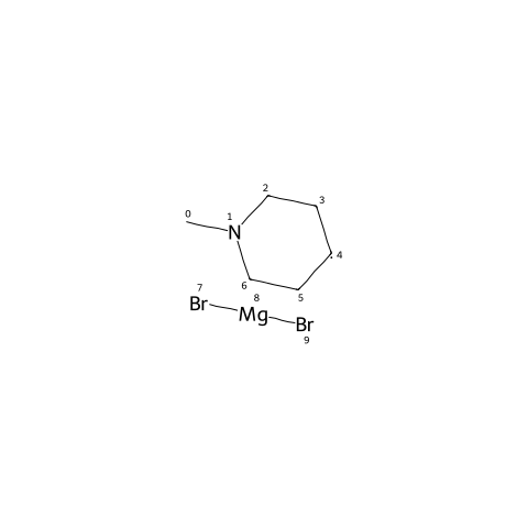 CN1CC[CH]CC1.[Br][Mg][Br]